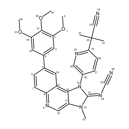 COc1cc(-c2ccc3ncc4c(c3c2)n(-c2ccc(C(C)(C)C#N)nc2)/c(=N\C#N)n4C)cc(OC)c1OC